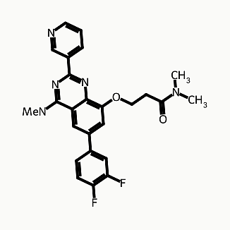 CNc1nc(-c2cccnc2)nc2c(OCCC(=O)N(C)C)cc(-c3ccc(F)c(F)c3)cc12